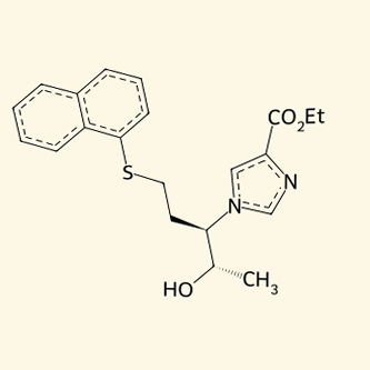 CCOC(=O)c1cn([C@H](CCSc2cccc3ccccc23)[C@H](C)O)cn1